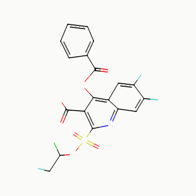 O=C(Oc1c(C(=O)O)c(S(=O)(=O)OC(Cl)CF)nc2cc(F)c(F)cc12)c1ccccc1